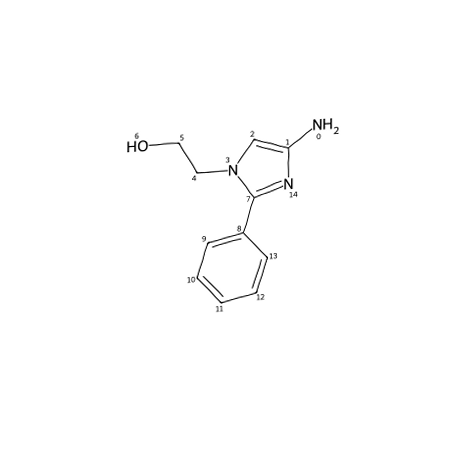 Nc1cn(CCO)c(-c2ccccc2)n1